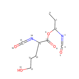 CCC(N=C=O)OC(=O)C(CCCO)N=C=O